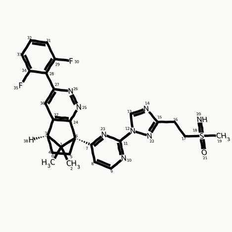 CC1(C)[C@H]2CC[C@]1(c1ccnc(-n3cnc(CCS(C)(=N)=O)n3)n1)c1nnc(-c3c(F)cccc3F)cc12